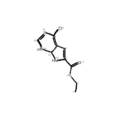 CCOC(=O)C1=CC2=C(Cl)N=CNC2N1